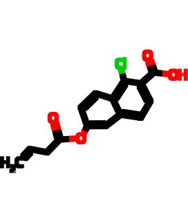 C=CCC(=O)Oc1ccc2c(Cl)c(C(=O)O)ccc2c1